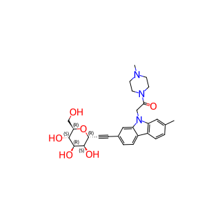 Cc1ccc2c3ccc(C#C[C@H]4O[C@H](CO)[C@@H](O)[C@H](O)[C@@H]4O)cc3n(CC(=O)N3CCN(C)CC3)c2c1